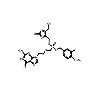 COc1ccc(COP(=O)(COCCn2cnc3c(=O)[nH]c(N)nc32)OCc2oc(=O)oc2CO)cc1F